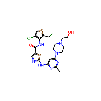 Cc1nc(Nc2ncc(C(=O)Nc3c(Cl)csc3CF)s2)cc(N2CCN(CCO)CC2)n1